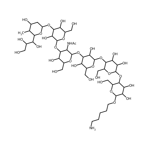 CC(=O)NC1C(OC2C(O)C(CO)OC(OC3C(CO)OC(OC4C(CO)OC(OCCCCCN)C(O)C4O)C(O)C3O)C2O)OC(CO)C(O)C1OC1OC(CO)C(O)C(OC2CC(O)C(C)C(C(O)C(O)CO)O2)C1O